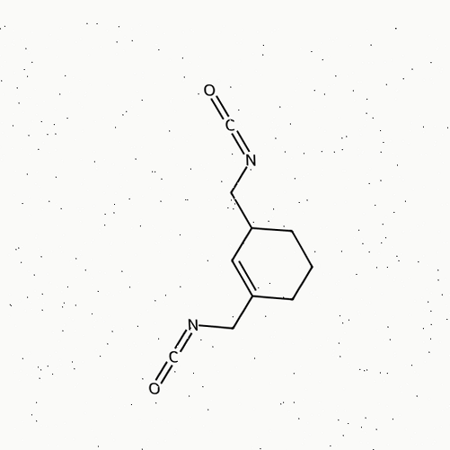 O=C=NCC1=CC(CN=C=O)CCC1